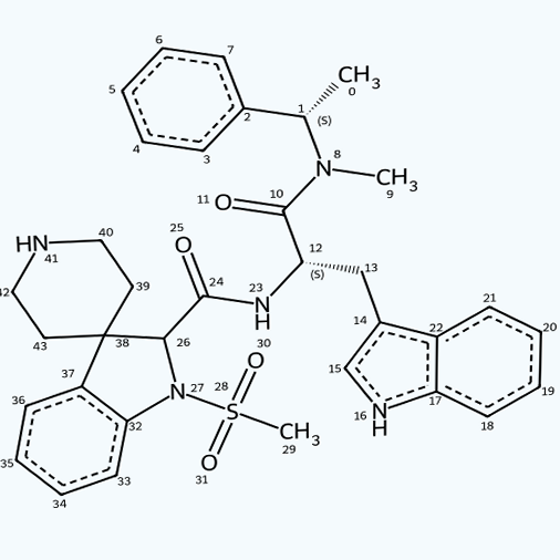 C[C@@H](c1ccccc1)N(C)C(=O)[C@H](Cc1c[nH]c2ccccc12)NC(=O)C1N(S(C)(=O)=O)c2ccccc2C12CCNCC2